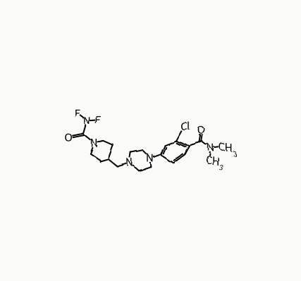 CN(C)C(=O)c1ccc(N2CCN(CC3CCN(C(=O)N(F)F)CC3)CC2)cc1Cl